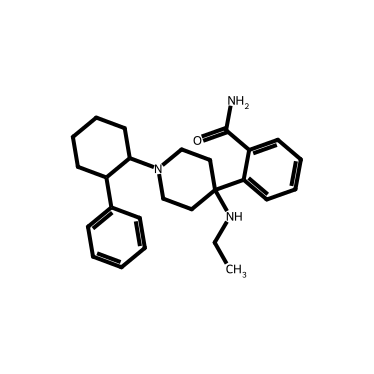 CCNC1(c2ccccc2C(N)=O)CCN(C2CCCCC2c2ccccc2)CC1